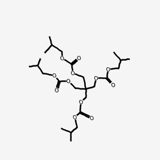 CC(C)COC(=O)OCC(COC(=O)OCC(C)C)(COC(=O)OCC(C)C)COC(=O)OCC(C)C